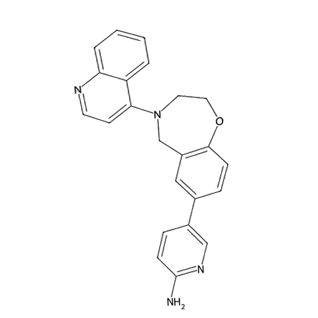 Nc1ccc(-c2ccc3c(c2)CN(c2ccnc4ccccc24)CCO3)cn1